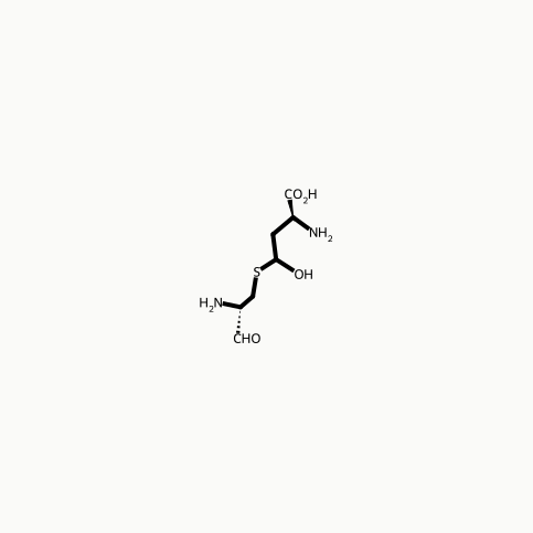 N[C@@H](C=O)CSC(O)C[C@H](N)C(=O)O